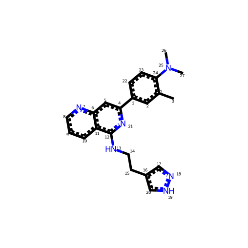 Cc1cc(-c2cc3ncccc3c(NCCc3cn[nH]c3)n2)ccc1N(C)C